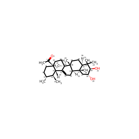 CC(=O)[C@]12CC[C@@H](C)[C@H](C)[C@H]1C1=CC[C@@H]3[C@@]4(C)C[C@@H](O)[C@H](O)C(C)(C)[C@@H]4CC[C@@]3(C)[C@]1(C)CC2